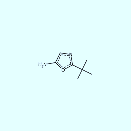 CC(C)(C)c1ncc(N)o1